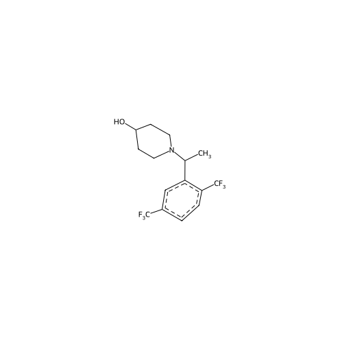 CC(c1cc(C(F)(F)F)ccc1C(F)(F)F)N1CCC(O)CC1